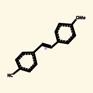 COc1ccc(/C=C/c2ccc(C#N)cc2)cc1